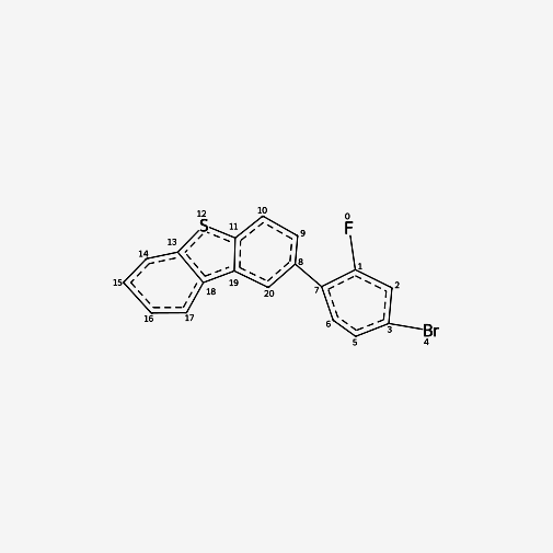 Fc1cc(Br)ccc1-c1ccc2sc3ccccc3c2c1